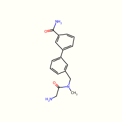 CN(Cc1cccc(-c2cccc(C(N)=O)c2)c1)C(=O)CN